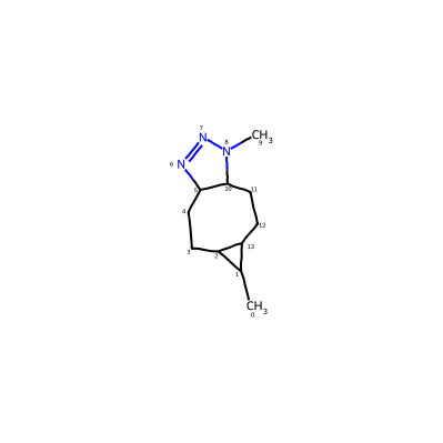 CC1C2CCC3N=NN(C)C3CCC12